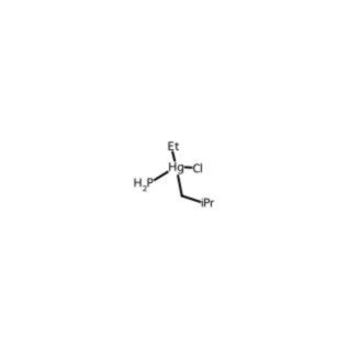 C[CH2][Hg]([PH2])([Cl])[CH2]C(C)C